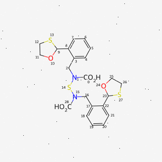 O=C(O)N(Cc1ccccc1C1OCCS1)SN(Cc1ccccc1C1OCCS1)C(=O)O